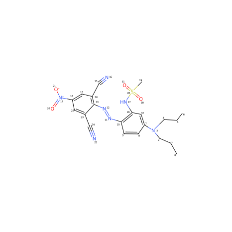 CCCN(CCC)c1ccc(N=Nc2c(C#N)cc([N+](=O)[O-])cc2C#N)c(NS(C)(=O)=O)c1